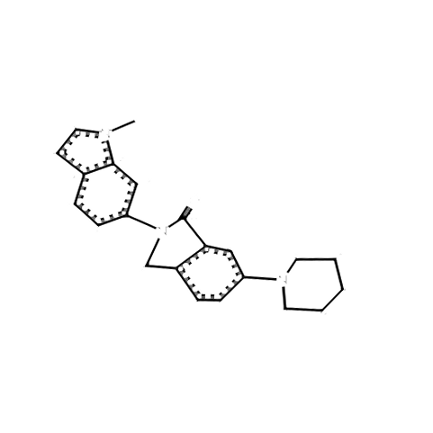 Cn1ccc2ccc(N3Cc4ccc(N5CCCCC5)cc4C3=O)cc21